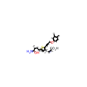 Cc1ccc(OCC#Cc2ccc(CC[C@@H](C)C(N)O)s2)cc1C.O=C(O)/C=C\C(=O)O